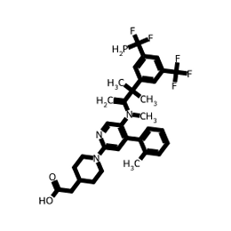 C=C(N(C)c1cnc(N2CCC(CC(=O)O)CC2)cc1-c1ccccc1C)C(C)(C)c1cc(C(F)(F)F)cc(C(F)(F)P)c1